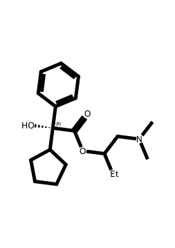 CCC(CN(C)C)OC(=O)[C@](O)(c1ccccc1)C1CCCC1